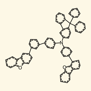 c1ccc(C2(c3ccccc3)c3ccccc3-c3cc(N(c4ccc(-c5cccc(-c6ccc7oc8ccccc8c7c6)c5)cc4)c4ccc(-c5cccc6c5oc5ccccc56)cc4)ccc32)cc1